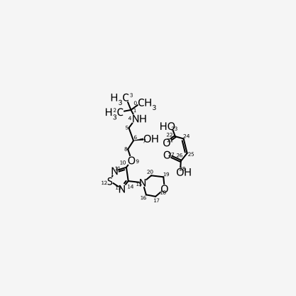 CC(C)(C)NC[C@@H](O)COc1nsnc1N1CCOCC1.O=C(O)/C=C\C(=O)O